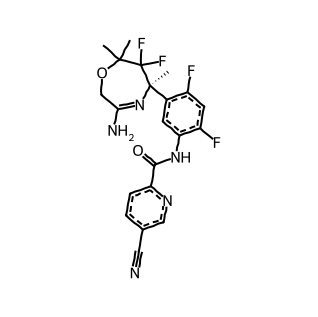 CC1(C)OCC(N)=N[C@](C)(c2cc(NC(=O)c3ccc(C#N)cn3)c(F)cc2F)C1(F)F